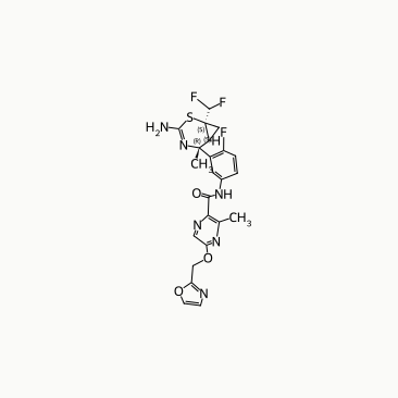 Cc1nc(OCc2ncco2)cnc1C(=O)Nc1ccc(F)c([C@]2(C)N=C(N)S[C@@]3(C(F)F)C[C@@H]23)c1